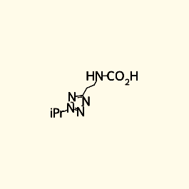 CC(C)n1nnc(CCNC(=O)O)n1